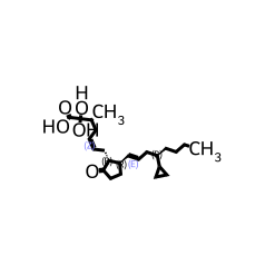 CCCC[C@H](C/C=C/[C@H]1CCC(=O)[C@@H]1C/C=C\CC(C)C(O)(O)C(=O)O)C1CC1